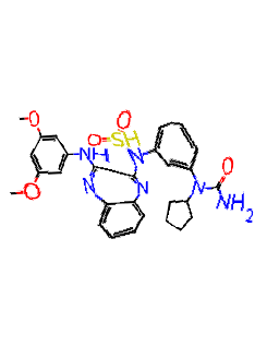 COc1cc(Nc2nc3ccccc3nc2N(c2cccc(N(C(N)=O)C3CCCC3)c2)[SH](=O)=O)cc(OC)c1